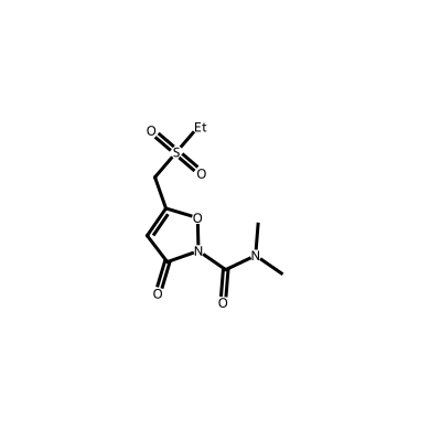 CCS(=O)(=O)Cc1cc(=O)n(C(=O)N(C)C)o1